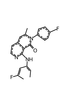 C/C=C(\C=C(/C)F)Nc1nccc2cc(C)n(-c3ccc(F)cc3)c(=O)c12